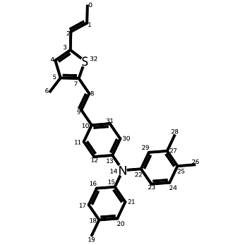 CC=Cc1cc(C)c(C=Cc2ccc(N(c3ccc(C)cc3)c3ccc(C)c(C)c3)cc2)s1